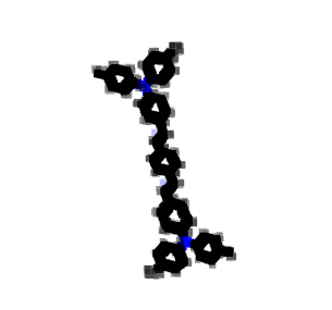 CCc1ccc(N(c2ccc(C)cc2)c2ccc(/C=C/c3ccc(/C=C/c4ccc(N(c5ccc(C)cc5)c5ccc(CC)cc5)cc4)cc3)cc2)cc1